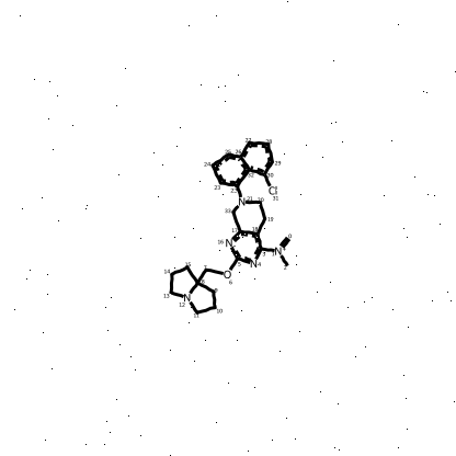 C=[N+](C)c1nc(OCC23CCCN2CCC3)nc2c1CCN(c1cccc3cccc(Cl)c13)C2